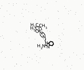 CC(C)(C)OC(=O)N1CCN(CCn2c(N)nc3ccccc32)CC1